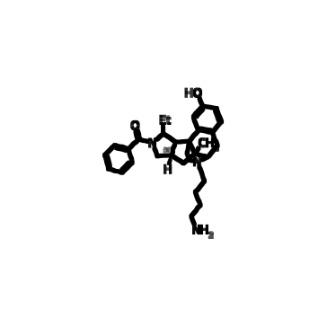 CCC1C2[C@@H](CN1C(=O)c1ccccc1)CC1(C)C3Cc4ccc(O)cc4C21CCN3CCCCN